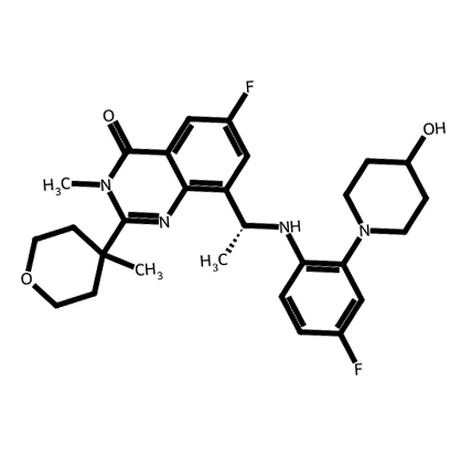 C[C@@H](Nc1ccc(F)cc1N1CCC(O)CC1)c1cc(F)cc2c(=O)n(C)c(C3(C)CCOCC3)nc12